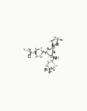 COC(=O)N1CCC(c2cc(NC3CCC(F)(F)CC3)nc(-n3ccc(C)n3)c2)CC1